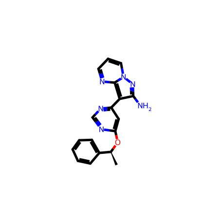 C[C@H](Oc1cc(-c2c(N)nn3cccnc23)ncn1)c1ccccc1